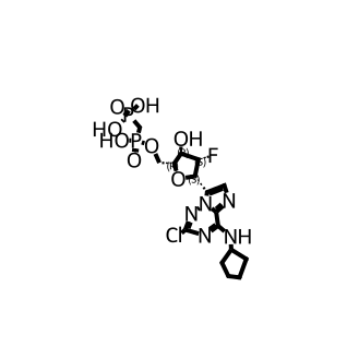 O=P(O)(O)CP(=O)(O)OC[C@H]1O[C@@H](c2cnc3c(NC4CCCC4)nc(Cl)nn23)[C@@H](F)[C@@H]1O